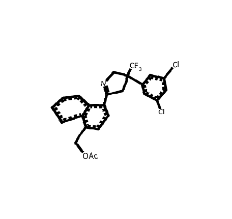 CC(=O)OCc1ccc(C2=NCC(c3cc(Cl)cc(Cl)c3)(C(F)(F)F)C2)c2ccccc12